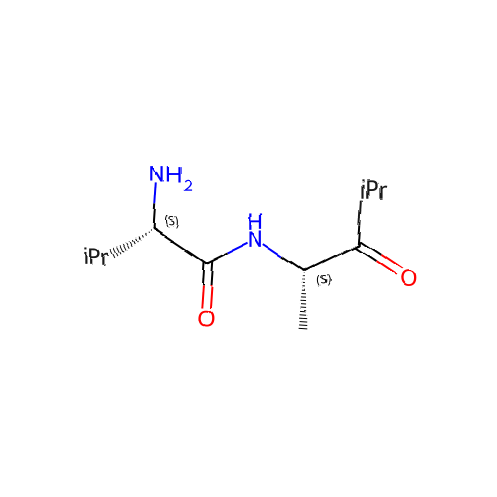 CC(C)C(=O)[C@H](C)NC(=O)[C@@H](N)C(C)C